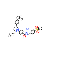 CCS(=O)(=O)c1ccc(CNC(=O)c2ccc(N3CC(c4ccc(C(F)(F)F)cc4)CC[C@H]3CC#N)cc2)cc1